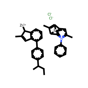 CC1=C2c3cc(C)n(-c4ccccc4)c3C1[Si]2(C)C.CCC(C)c1ccc(-c2cccc3c2C=C(C)[CH]3[Zr+2])cc1.[Cl-].[Cl-]